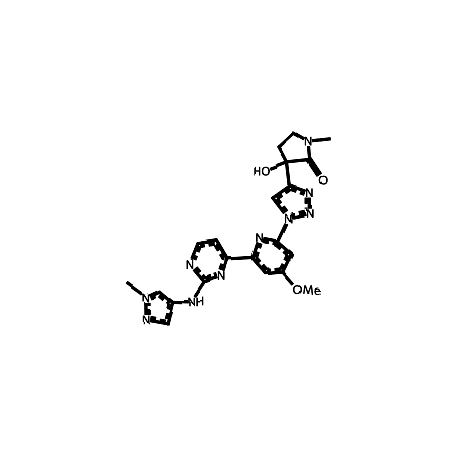 COc1cc(-c2ccnc(Nc3cnn(C)c3)n2)nc(-n2cc(C3(O)CCN(C)C3=O)nn2)c1